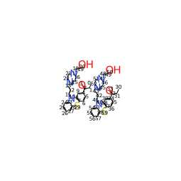 CCC(=O)c1ccc2c(c1)N(CCCN1CCN(CCO)CC1)c1ccccc1S2.CCC(=O)c1ccc2c(c1)N(CCCN1CCN(CCO)CC1)c1ccccc1S2